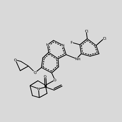 C=CC(=O)N1C2CC(Oc3cc4c(Nc5ccc(Cl)c(Cl)c5F)ncnc4cc3OC3COC3)CC1C2